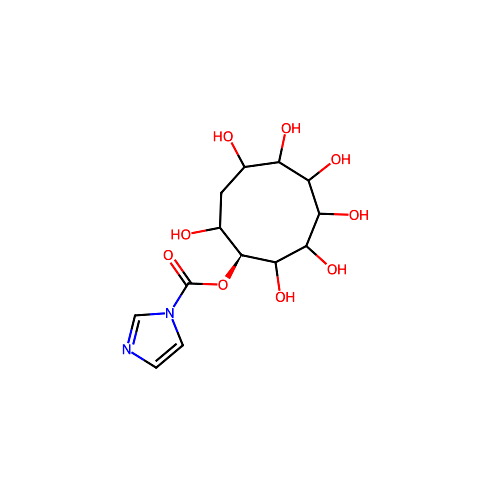 O=C(O[C@H]1C(O)CC(O)C(O)C(O)C(O)C(O)C1O)n1ccnc1